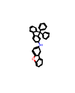 c1ccc(C2(c3ccccc3)c3ccccc3-c3ccc(Nc4ccc5oc6ccccc6c5c4)cc32)cc1